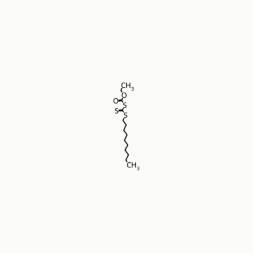 CCCCCCCCCCSC(=S)SC(=O)OCC